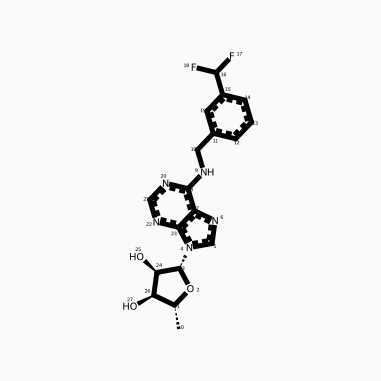 C[C@H]1O[C@@H](n2cnc3c(NCc4cccc(C(F)F)c4)ncnc32)[C@H](O)[C@@H]1O